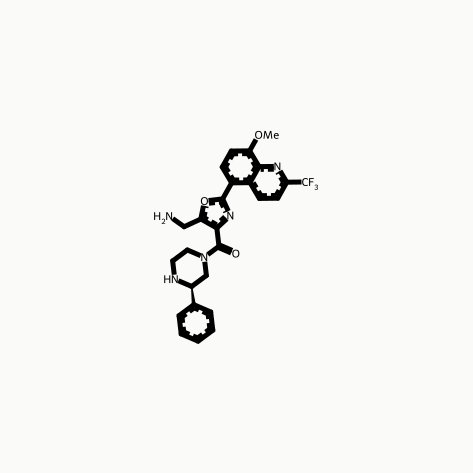 COc1ccc(-c2nc(C(=O)N3CCN[C@H](c4ccccc4)C3)c(CN)o2)c2ccc(C(F)(F)F)nc12